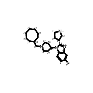 Fc1ccc2c(c1)nc([C@@H]1CCNC1)n2C1CCN(CC2CCCCCCC2)CC1